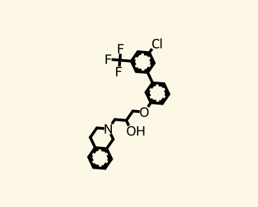 OC(COc1cccc(-c2cc(Cl)cc(C(F)(F)F)c2)c1)CN1CCc2ccccc2C1